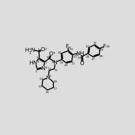 NC(=O)c1[nH]cnc1C(=O)N(CCN1CCCCC1)c1ccc(NC(=O)c2ccc(F)cc2)c(F)c1